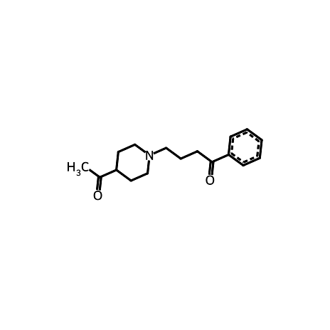 CC(=O)C1CCN(CCCC(=O)c2ccccc2)CC1